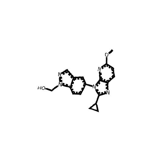 COc1ccc2nc(C3CC3)n(-c3ccc4c(cnn4CO)c3)c2n1